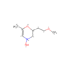 COCCC1CN(O)C=C(C)O1